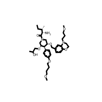 CC[C@H](C)[C@H](N)C(=O)N1C[C@H](OCc2ccc3c(c2)N(CCCOC)CCO3)[C@@H](c2ccc(OCCCCOC)cc2)[C@H](OCC(C)O)C1